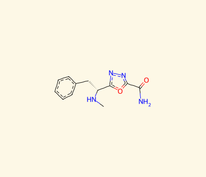 CN[C@H](Cc1ccccc1)c1nnc(C(N)=O)o1